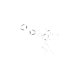 CC(C)n1cnc2c(NCc3ccc(-c4ccccc4)cc3)nc(N3CCN[C@@H](CO)C3)nc21